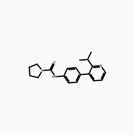 CC(C)c1ncccc1-c1ccc(NC(=O)N2CCCC2)cc1